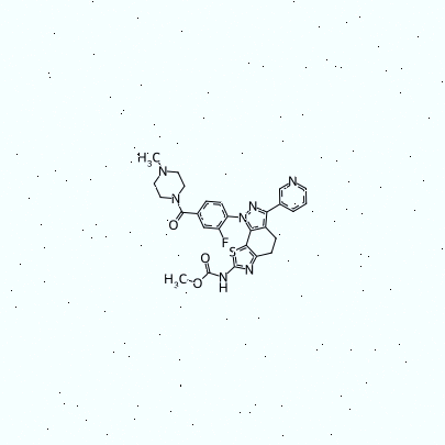 COC(=O)Nc1nc2c(s1)-c1c(c(-c3cccnc3)nn1-c1ccc(C(=O)N3CCN(C)CC3)cc1F)CC2